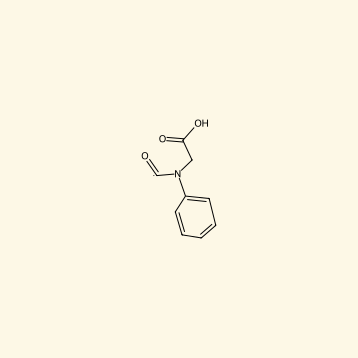 O=[C]N(CC(=O)O)c1ccccc1